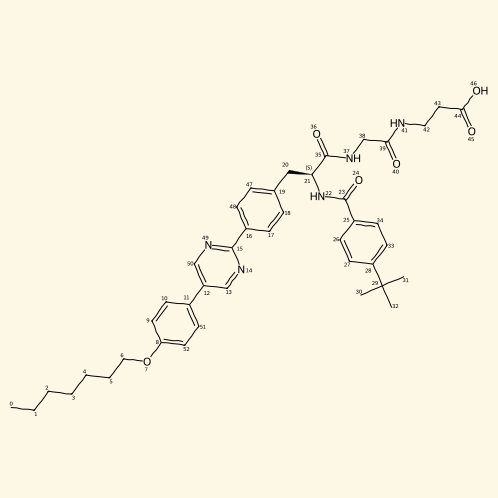 CCCCCCCOc1ccc(-c2cnc(-c3ccc(C[C@H](NC(=O)c4ccc(C(C)(C)C)cc4)C(=O)NCC(=O)NCCC(=O)O)cc3)nc2)cc1